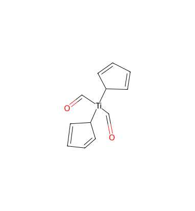 O=[CH][Ti]([CH]=O)([CH]1C=CC=C1)[CH]1C=CC=C1